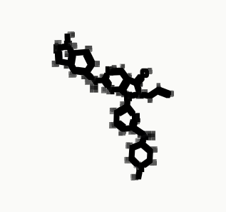 C=CCn1c(=O)c2cnc(Nc3ccc4c(cnn4C)c3)nc2n1-c1cccc(NC2CCN(C)CC2)n1